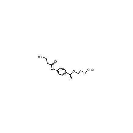 CC(C)(C)CCC(=O)Oc1ccc(C(=O)OCCOC=O)cc1